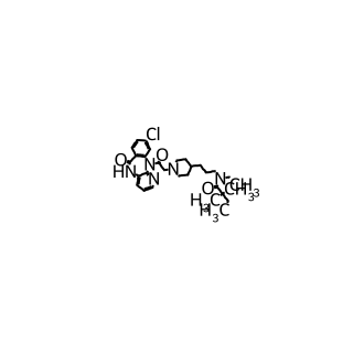 CCN(CCCC1CCN(CC(=O)N2c3cc(Cl)ccc3C(=O)Nc3cccnc32)CC1)C(=O)C(C)(C)CC